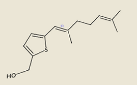 CC(C)=CCC/C(C)=C/c1ccc(CO)s1